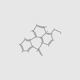 CCc1ccc2c3c(ncnc13)-c1ccccc1C2=O